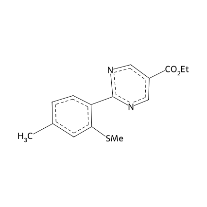 CCOC(=O)c1cnc(-c2ccc(C)cc2SC)nc1